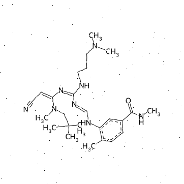 CNC(=O)c1ccc(C)c(N/C=N/C(=N\C(=C\C#N)N(C)CC(C)(C)C)NCCCN(C)C)c1